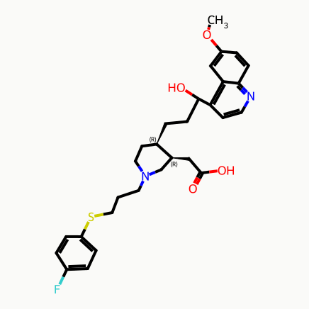 COc1ccc2nccc(C(O)CC[C@@H]3CCN(CCCSc4ccc(F)cc4)C[C@@H]3CC(=O)O)c2c1